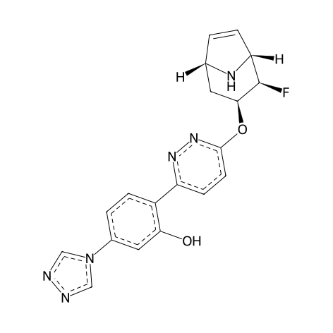 Oc1cc(-n2cnnc2)ccc1-c1ccc(O[C@H]2C[C@@H]3C=C[C@@H](N3)[C@H]2F)nn1